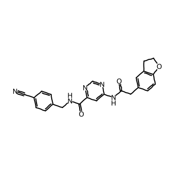 N#Cc1ccc(CNC(=O)c2cc(NC(=O)Cc3ccc4c(c3)CCO4)ncn2)cc1